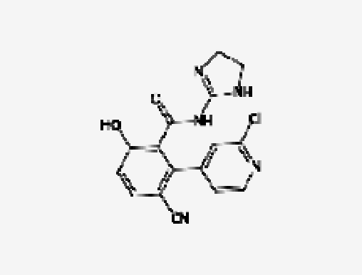 N#Cc1ccc(O)c(C(=O)NC2=NCCN2)c1-c1ccnc(Cl)c1